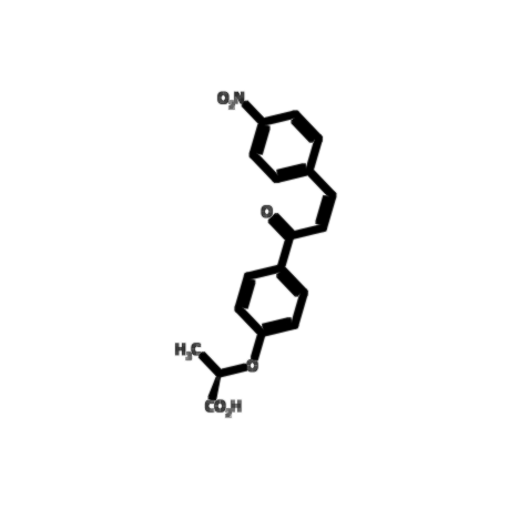 C[C@@H](Oc1ccc(C(=O)/C=C\c2ccc([N+](=O)[O-])cc2)cc1)C(=O)O